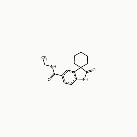 O=C(NCC(F)(F)F)c1ccc2c(c1)C1(CCCCC1)C(=O)N2